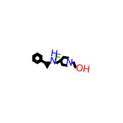 OCCN1CCC(F)(CNC2CC2c2ccccc2)CC1